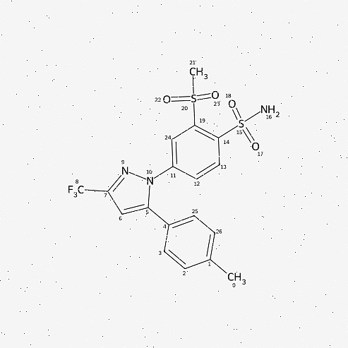 Cc1ccc(-c2cc(C(F)(F)F)nn2-c2ccc(S(N)(=O)=O)c(S(C)(=O)=O)c2)cc1